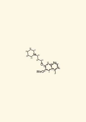 COc1cc2c(C)ncnc2cc1OCCCN1CCCCC1